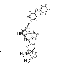 C[C@@H]1OCC2(CCN(c3nc4[nH]nc(C#Cc5ccc(Oc6ccccc6)cc5)c4c4nccn34)CC2)[C@@H]1N